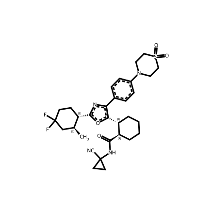 C[C@H]1CC(F)(F)CC[C@@H]1c1nc(-c2ccc(N3CCS(=O)(=O)CC3)cc2)c([C@@H]2CCCC[C@H]2C(=O)NC2(C#N)CC2)o1